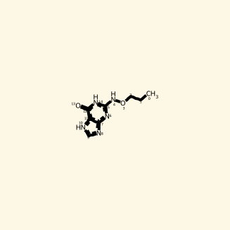 CCCONc1nc2nc[nH]c2c(=O)[nH]1